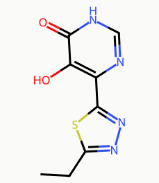 CCc1nnc(-c2nc[nH]c(=O)c2O)s1